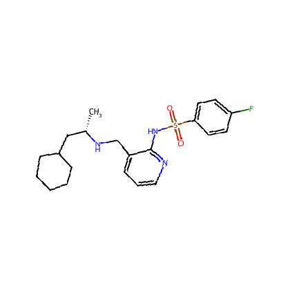 C[C@@H](CC1CCCCC1)NCc1cccnc1NS(=O)(=O)c1ccc(F)cc1